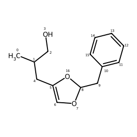 CC(CO)CC1=COC(Cc2ccccc2)O1